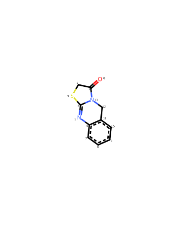 O=C1CSC2=Nc3ccccc3CN12